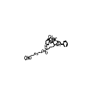 C[C@@H]1CCCN1C(=O)C(CCCNC(=O)OCCSSCCON=O)N[C@H](C=O)CCc1ccccc1